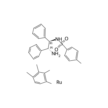 Cc1ccc(C)c(C)c1C.Cc1ccc(S(=O)(=O)N[C@H](c2ccccc2)[C@H](N)c2ccccc2)cc1.[Ru]